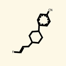 N#Cc1ccc(C2CCC(C/C=C/F)CC2)cc1